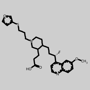 COc1ccc2nccc([C@@H](F)CCC3CCN(CCCSc4ccoc4)CC3CCC(=O)O)c2c1